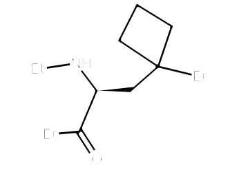 CCN[C@@H](CC1(CC)CCC1)C(=O)CC